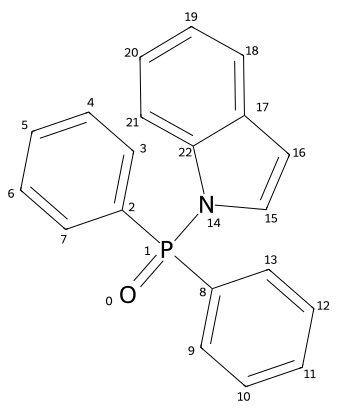 O=P(c1ccccc1)(c1ccccc1)n1ccc2ccccc21